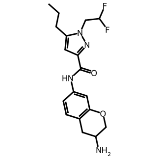 CCCc1cc(C(=O)Nc2ccc3c(c2)OCC(N)C3)nn1CC(F)F